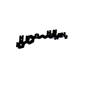 N/N=C(\N)CCCCCOc1ccc(-c2ccn[nH]2)nc1